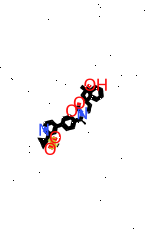 C[C@@H](c1ccc(-c2ccnc(C3(S(C)(=O)=O)CC3)c2)cc1)N1CCC(CC(C)(C)O)(c2ccccc2)OC1=O